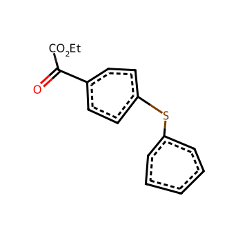 CCOC(=O)C(=O)c1ccc(Sc2ccccc2)cc1